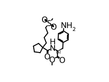 COC(=O)[C@H](Cc1ccc(N)cc1)NC(=O)C1(CCCCS(C)(=O)=O)CCCC1